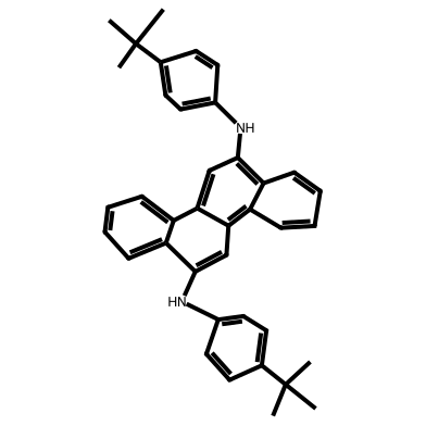 CC(C)(C)c1ccc(Nc2cc3c4ccccc4c(Nc4ccc(C(C)(C)C)cc4)cc3c3ccccc23)cc1